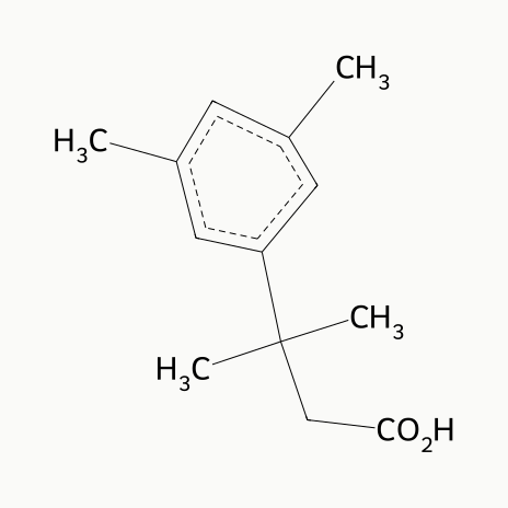 Cc1cc(C)cc(C(C)(C)CC(=O)O)c1